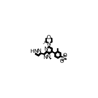 Cc1cc(S(C)(=O)=O)ccc1-c1cc(N2CCOC[C@H]2C)nc2c(-c3cc[nH]n3)nn(C)c12